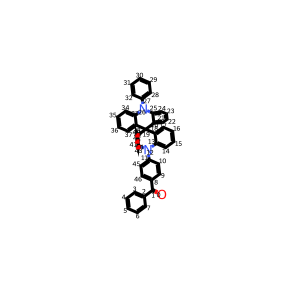 O=C(c1ccccc1)c1ccc(N2c3ccccc3C3(c4ccccc4N(c4ccccc4)c4ccccc43)c3ccccc32)cc1